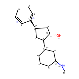 C/C=C\C(=C/C)[C@@H]1CC([C@H]2CCCC(NC)C2)[C@@H](O)C1